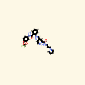 O=C(NCCCN1CCCC1)c1cc(CNc2ccccc2C(=O)Nc2ccc3c(c2)OC(F)(F)O3)ccn1